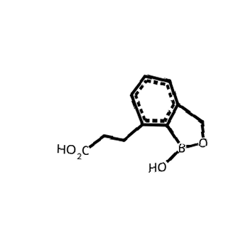 O=C(O)CCc1cccc2c1B(O)OC2